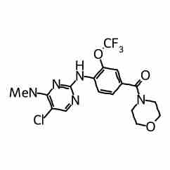 CNc1nc(Nc2ccc(C(=O)N3CCOCC3)cc2OC(F)(F)F)ncc1Cl